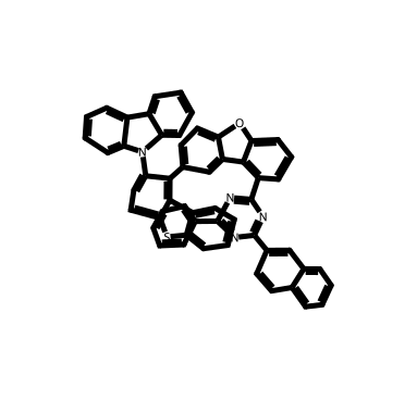 c1ccc(-c2nc(-c3ccc4ccccc4c3)nc(-c3cccc4oc5ccc(-c6c(-n7c8ccccc8c8ccccc87)ccc7sc8ccccc8c67)cc5c34)n2)cc1